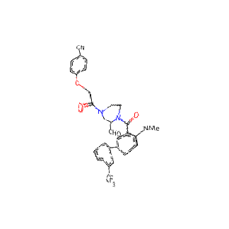 CNc1ccc(-c2cccc(C(F)(F)F)c2)cc1C(=O)N1CCN(C(=O)COc2ccc(C#N)cc2)CC1C=O